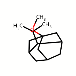 COC12CC3CC(C1)C(C(C)C)C(C3)C2